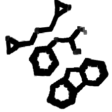 C(OCC1CO1)C1CO1.CC(O)Oc1ccccc1.c1ccc2c(c1)Cc1ccccc1-2